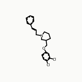 Clc1ccc(OCC2CCCN(CC=Cc3ccccc3)C2)cc1Cl